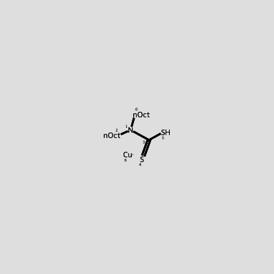 CCCCCCCCN(CCCCCCCC)C(=S)S.[Cu]